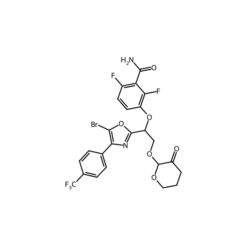 NC(=O)c1c(F)ccc(OC(COC2OCCCC2=O)c2nc(-c3ccc(C(F)(F)F)cc3)c(Br)o2)c1F